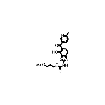 COCCCOC(=O)Nc1nc2c(s1)C(O)=C(C(=O)c1ccc(C)nc1)CC2